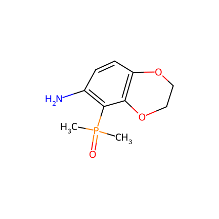 CP(C)(=O)c1c(N)ccc2c1OCCO2